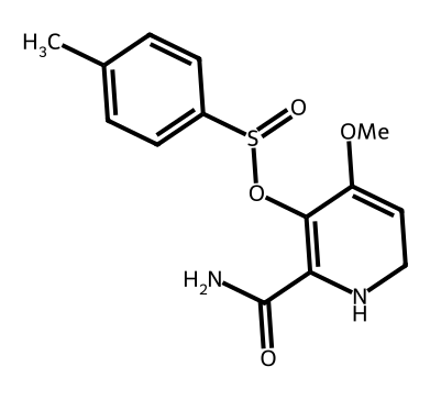 COC1=CCNC(C(N)=O)=C1OS(=O)c1ccc(C)cc1